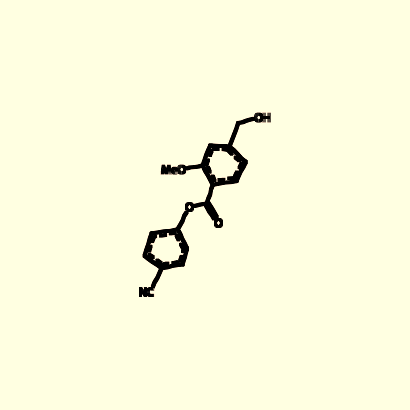 COc1cc(CO)ccc1C(=O)Oc1ccc(C#N)cc1